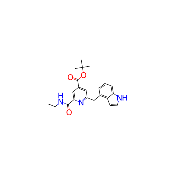 CCNC(=O)c1cc(C(=O)OC(C)(C)C)cc(Cc2cccc3[nH]ccc23)n1